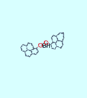 B(Oc1ccc2ccc3cccc4ccc1c2c34)Oc1ccc2ccc3cccc4ccc1c2c34